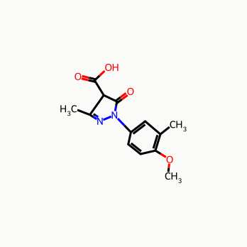 COc1ccc(N2N=C(C)C(C(=O)O)C2=O)cc1C